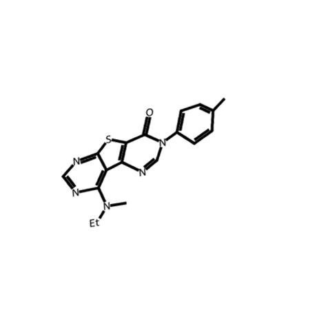 CCN(C)c1ncnc2sc3c(=O)n(-c4ccc(C)cc4)cnc3c12